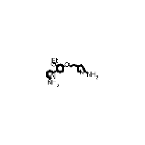 CCOc1cc(OCCC2CC3C(N)N3C2)ccc1-c1cccc(N)n1